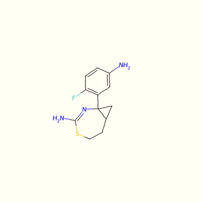 NC1=NC2(c3cc(N)ccc3F)CC2CCS1